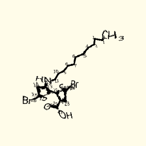 CCCCCCCCCCCCNc1cc(Br)sc1-c1sc(Br)cc1C(=O)O